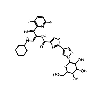 N=C(/C(=C\NC1CCCCC1)NC(=O)c1csc(-c2cnn(C3OC(CO)C(O)C(O)C3O)c2)n1)c1nc(F)ccc1F